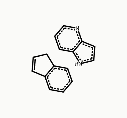 C1=Cc2ccccc2C1.c1cnc2cc[nH]c2c1